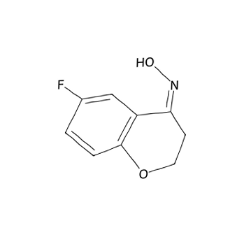 O/N=C1/CCOc2ccc(F)cc21